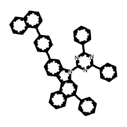 c1ccc(-c2nc(-c3ccccc3)nc(-n3c4cc(-c5ccc(-c6cccc7ccccc67)cc5)ccc4c4c5ccccc5c(-c5ccccc5)cc43)n2)cc1